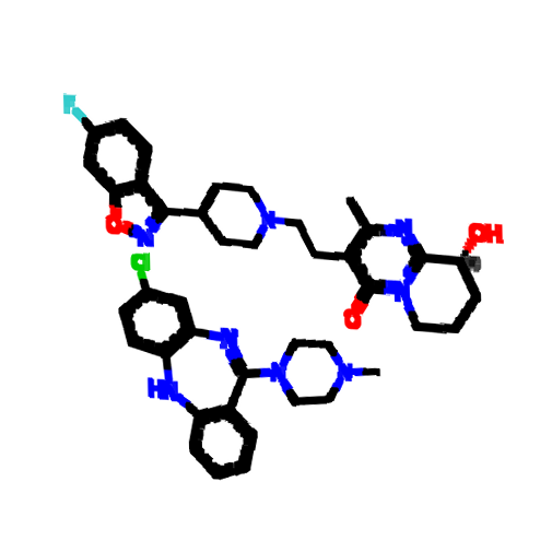 CN1CCN(C2=Nc3cc(Cl)ccc3Nc3ccccc32)CC1.Cc1nc2n(c(=O)c1CCN1CCC(c3noc4cc(F)ccc34)CC1)CCC[C@H]2O